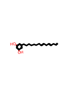 C=CCC=CCC=CCCCCCCCc1cc(O)cc(O)c1